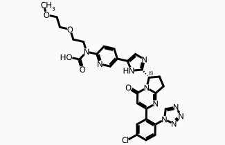 COCCOCCN(C(=O)O)c1ccc(-c2cnc([C@@H]3CCc4nc(-c5cc(Cl)ccc5-n5cnnn5)cc(=O)n43)[nH]2)cn1